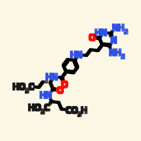 Nc1nc(N)c(CCCNc2ccc(C(=O)N[C@@H](CCC(=O)O)C(=O)N[C@@H](CCC(=O)O)C(=O)O)cc2)c(=O)[nH]1